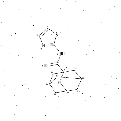 O=C(Nc1nccs1)C12CC3CC(CC(C3)C1)C2